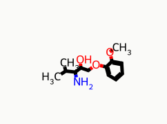 COc1ccccc1OCC(O)C(N)C(C)C